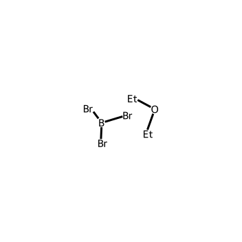 BrB(Br)Br.CCOCC